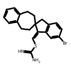 N=C(N)SC=C1c2cc(Br)ccc2CC12CCc1ccccc1CC2